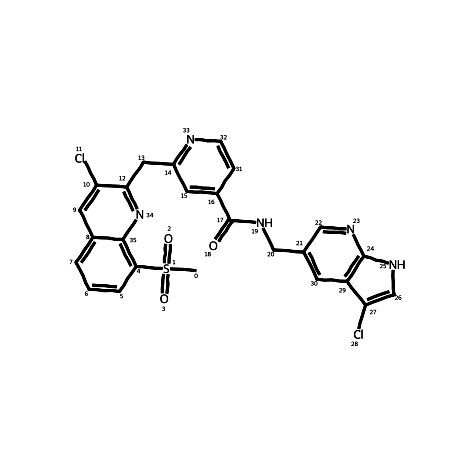 CS(=O)(=O)c1cccc2cc(Cl)c(Cc3cc(C(=O)NCc4cnc5[nH]cc(Cl)c5c4)ccn3)nc12